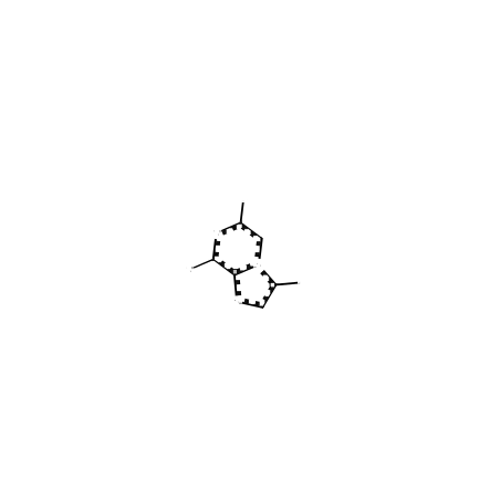 Nc1nc(Cl)cn2c(C(=O)O)cnc12